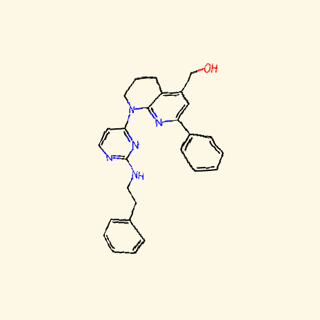 OCc1cc(-c2ccccc2)nc2c1CCCN2c1ccnc(NCCc2ccccc2)n1